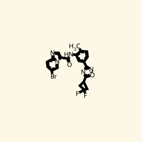 Cc1ccc(-c2noc(C3CC(F)(F)C3)n2)cc1NC(=O)c1cnc2ccc(Br)cn12